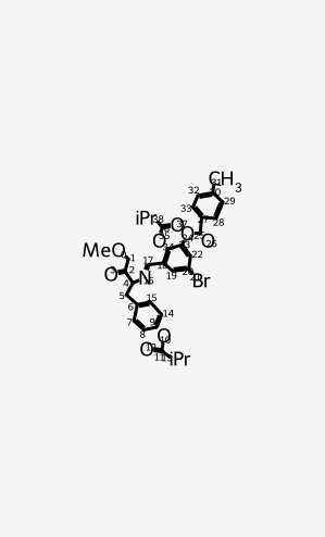 COCC(=O)C(Cc1ccc(OC(=O)C(C)C)cc1)N=Cc1cc(Br)cc(OC(=O)c2ccc(C)cc2)c1OC(=O)C(C)C